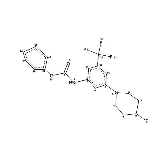 O=C(Nc1cc(N2CCC(F)CC2)cc(C(F)(F)F)c1)Oc1ccccc1